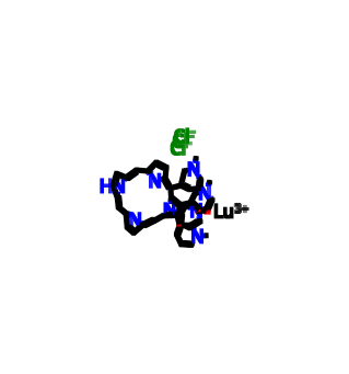 CN1C=CC=C(c2c(C3=CC=CN(C)C3)c3c(C4=CC=CN(C)C4)c4nc(cc5ccc(cc6nc(cc2n3C2=CC=CN(C)C2)C=C6)[nH]5)C=C4)C1.[Cl-].[Cl-].[Cl-].[Lu+3]